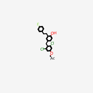 CC(=O)COc1cc(Cl)c(Cc2ccc(O)c(CCc3ccc(F)cc3)c2)c(Cl)c1